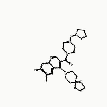 O=C(c1cnc2cc(F)c(F)cc2c1N1CCC2(CC1)OCCO2)N1CCN(SN2CCCC2)CC1